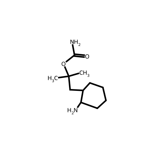 CC(C)(CC1CCCCC1N)OC(N)=O